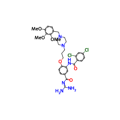 COc1ccc(CN2CCN(CCCOc3ccc(C(=O)N=C(N)N)cc3NC(=O)c3ccc(Cl)cc3Cl)CC2)c(OC)c1OC